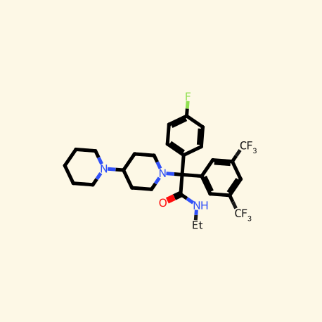 CCNC(=O)C(c1ccc(F)cc1)(c1cc(C(F)(F)F)cc(C(F)(F)F)c1)N1CCC(N2CCCCC2)CC1